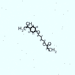 C=CC(=O)OCCCCOc1ccc(C(=C)C)cc1